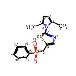 Cc1ccc(C)n1-c1ncc(CS(=O)(=O)c2ccccc2)s1